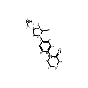 CC1O[C@@H](CN)CN1c1ccc(N2CCOCC2=O)cc1